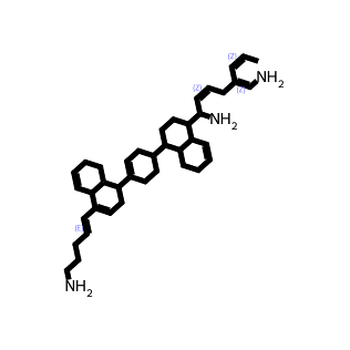 C/C=C\C(=C/N)C/C=C\C(N)C1CCC(C2CC=C(C3CC=C(/C=C/CCCN)C4C=CCCC43)CC2)C2CCC=CC12